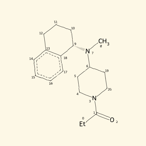 CCC(=O)N1CCC(N(C)[C@H]2CCCc3ccccc32)CC1